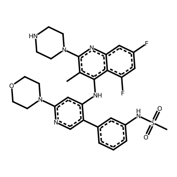 Cc1c(N2CCNCC2)nc2cc(F)cc(F)c2c1Nc1cc(N2CCOCC2)ncc1-c1cccc(NS(C)(=O)=O)c1